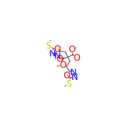 COC(=O)C(CCc1nnc(SC)o1)(Cc1nnc(SC)o1)C(=O)OC